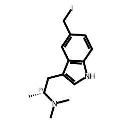 C[C@H](Cc1c[nH]c2ccc(CI)cc12)N(C)C